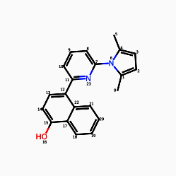 Cc1ccc(C)n1-c1cccc(-c2ccc(O)c3ccccc23)n1